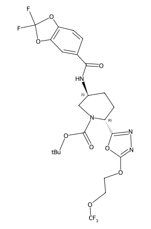 CC(C)(C)OC(=O)N1C[C@@H](NC(=O)c2ccc3c(c2)OC(F)(F)O3)CC[C@@H]1c1nnc(OCCOC(F)(F)F)o1